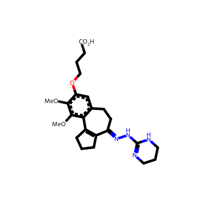 COc1c(OCCCC(=O)O)cc2c(c1OC)C1=C(CCC1)C(=NNC1=NCCCN1)CC2